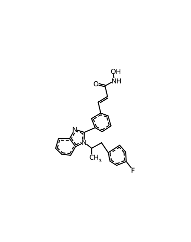 CC(Cc1ccc(F)cc1)n1c(-c2cccc(/C=C/C(=O)NO)c2)nc2ccccc21